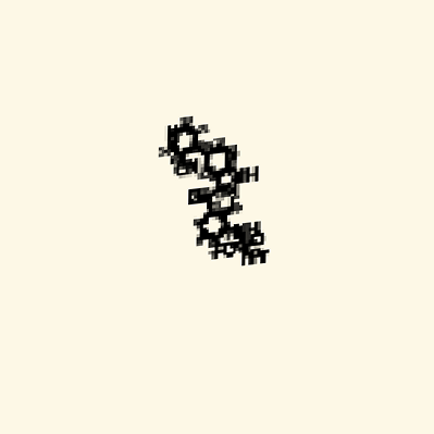 CCCS(=O)(=O)Nc1c(F)ccc(C(=O)c2n[nH]c3ncc(-c4ccncc4C#N)cc23)c1F